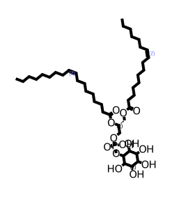 CCCCCC/C=C\CCCCCCCC(=O)OC[C@H](COP(=O)(O)OC1C(O)C(O)C(O)[C@@H](O)C1O)OC(=O)CCCCCCC/C=C\CCCCCCCC